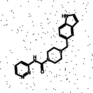 O=C(Nc1cccnn1)N1CCN(Cc2ccc3[nH]ccc3c2)CC1